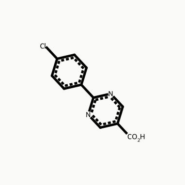 O=C(O)c1cnc(-c2ccc(Cl)cc2)nc1